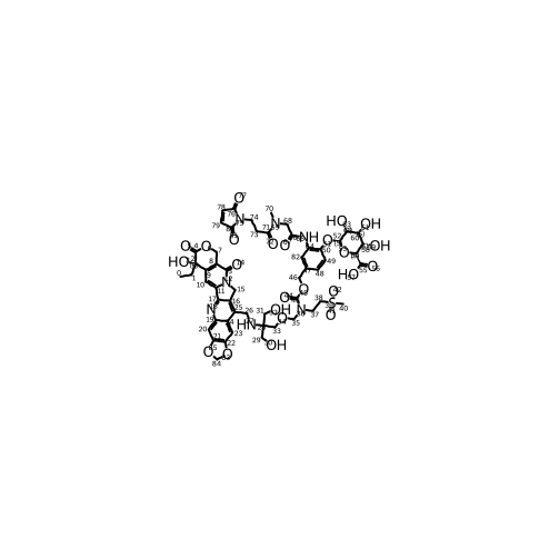 CC[C@]1(O)C(=O)OCc2c1cc1n(c2=O)Cc2c-1nc1cc3c(cc1c2CNC(CO)(CO)COCN(CCS(C)(=O)=O)C(=O)OCc1ccc(O[C@@H]2O[C@H](C(=O)O)[C@@H](O)[C@H](O)[C@H]2O)c(NC(=O)CN(C)C(=O)CCN2C(=O)C=CC2=O)c1)OCO3